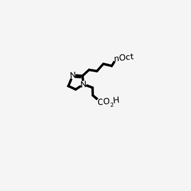 CCCCCCCCCCCCC1=NCCN1CCC(=O)O